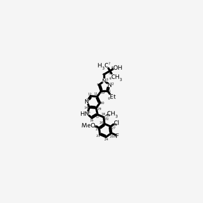 CCc1nn(CC(C)(C)O)cc1-c1cnc2[nH]cc([C@H](C)c3c(OC)ccc(F)c3Cl)c2c1